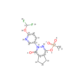 O=c1c2c(c(OS(=O)(=O)C(F)(F)F)nn1-c1ccc(OC(F)F)nc1)CCC2